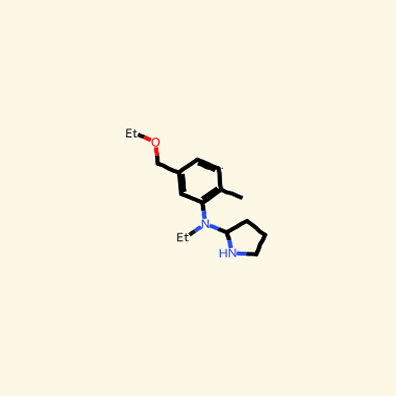 CCOCc1c[c]c(C)c(N(CC)C2CCCN2)c1